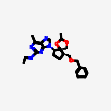 C/C=N/c1nc(C)c2ncn([C@H]3CC[C@@H](COCc4ccccc4)[C@@]34COC(C)O4)c2n1